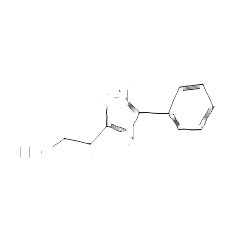 C[CH]Cc1nc(-c2ccccc2)no1